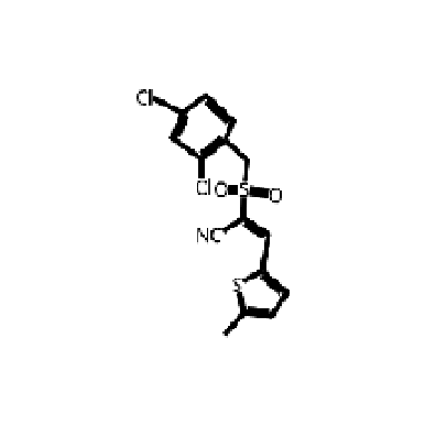 Cc1ccc(/C=C(\C#N)S(=O)(=O)Cc2ccc(Cl)cc2Cl)s1